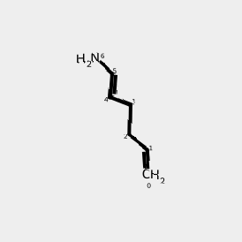 C=CCC/C=C/N